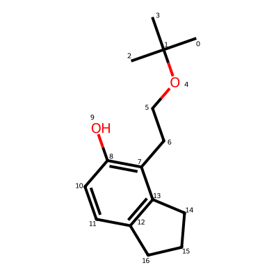 CC(C)(C)OCCc1c(O)ccc2c1CCC2